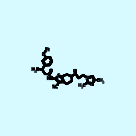 CCOc1cccc(C(C)CC(=O)Nc2sc3c(c2C#N)CCN(C(=O)CCn2cc(C)nc2C)C3)c1